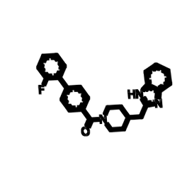 O=C(c1ccc(-c2ccccc2F)cc1)N1CCC(Cc2nc3ccccc3[nH]2)CC1